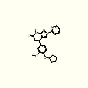 COc1cc(C2CC(=O)Nc3nn(-c4ccccn4)cc32)ccc1OC1CCCC1